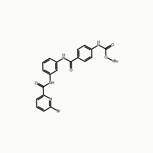 CC(C)(C)OC(=O)Nc1ccc(C(=O)Nc2cccc(NC(=O)c3cccc(Br)n3)c2)cc1